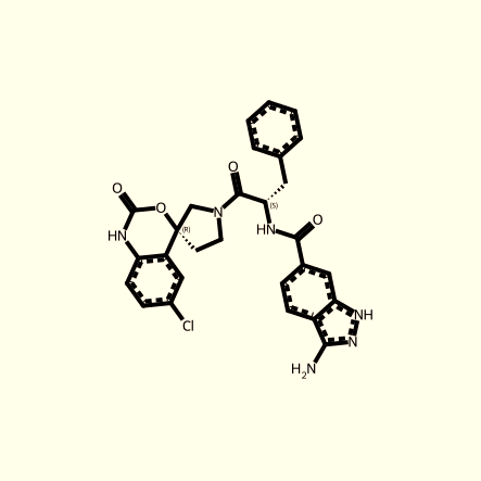 Nc1n[nH]c2cc(C(=O)N[C@@H](Cc3ccccc3)C(=O)N3CC[C@@]4(C3)OC(=O)Nc3ccc(Cl)cc34)ccc12